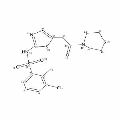 Cc1c(Cl)cccc1S(=O)(=O)Nc1ncc(CC(=O)N2CCSCC2)s1